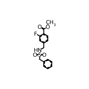 COC(=O)c1ccc(CNS(=O)(=O)Cc2ccccc2)cc1F